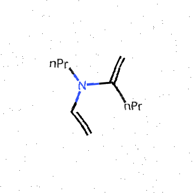 C=CN(CCC)C(=C)CCC